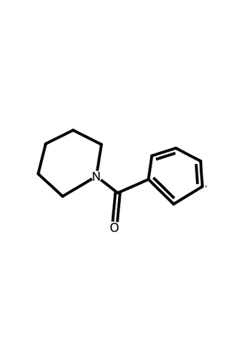 O=C(c1c[c]ccc1)N1CCCCC1